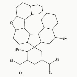 CCC(CC)C1CC(C(CC)CC)C(C(C)C)C2(C1)C1CC(C(C)C)C3CCCCC3C1C1C3C(CCC12)OC1CCC2CCCCC2C13